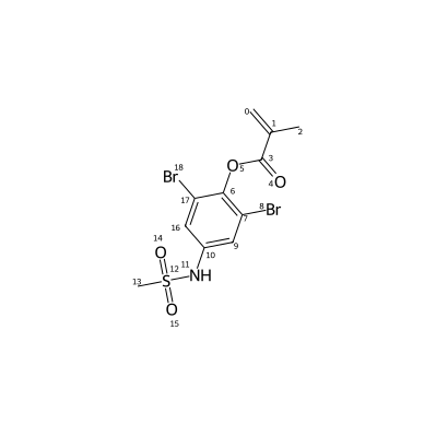 C=C(C)C(=O)Oc1c(Br)cc(NS(C)(=O)=O)cc1Br